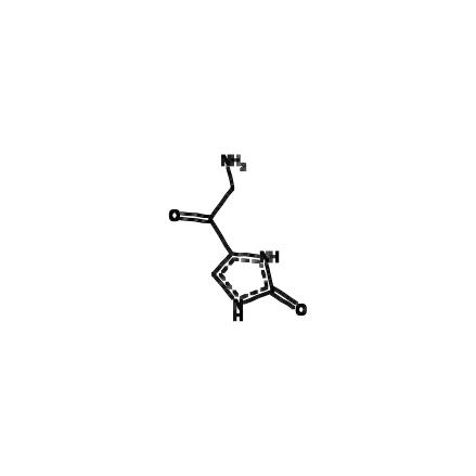 NCC(=O)c1c[nH]c(=O)[nH]1